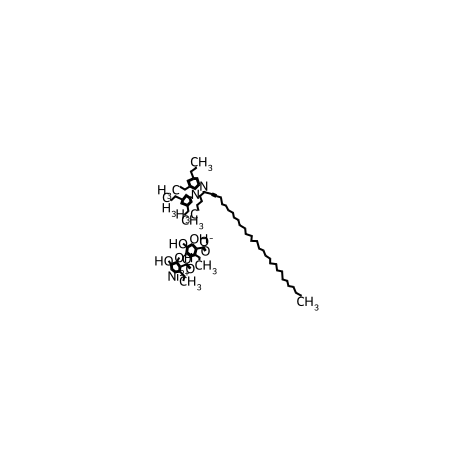 CCCCCCCCCCCCCCCCCCCCCCCCCCCCC#CC(=Nc1cc(CCC)cc(CCC)c1)C(CCCC)=Nc1cc(CCC)cc(CCC)c1.CCc1ccc(O)c(O)c1C(=O)[O-].CCc1ccc(O)c(O)c1C(=O)[O-].[Ni+2]